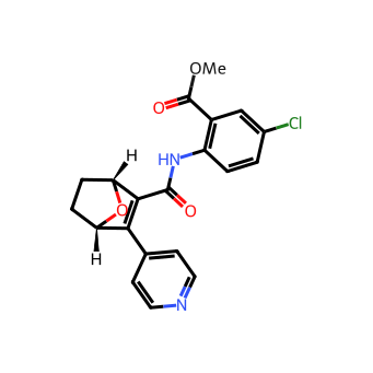 COC(=O)c1cc(Cl)ccc1NC(=O)C1=C(c2ccncc2)[C@@H]2CC[C@H]1O2